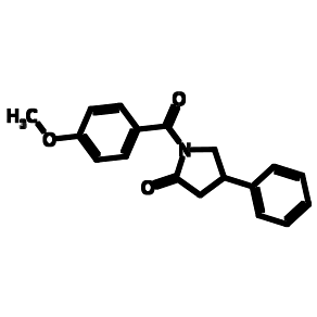 COc1ccc(C(=O)N2CC(c3ccccc3)CC2=O)cc1